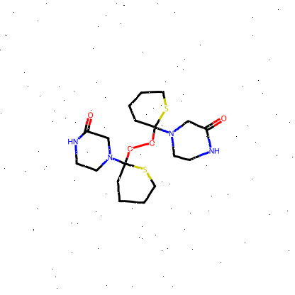 O=C1CN(C2(OOC3(N4CCNC(=O)C4)CCCCS3)CCCCS2)CCN1